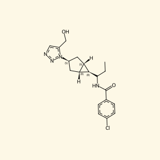 CCC(NC(=O)c1ccc(Cl)cc1)[C@H]1[C@@H]2C[C@@H](n3nncc3CO)C[C@@H]21